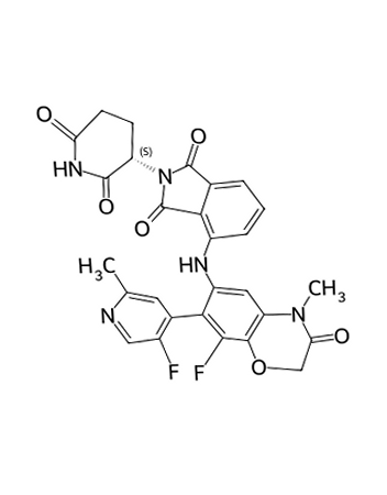 Cc1cc(-c2c(Nc3cccc4c3C(=O)N([C@H]3CCC(=O)NC3=O)C4=O)cc3c(c2F)OCC(=O)N3C)c(F)cn1